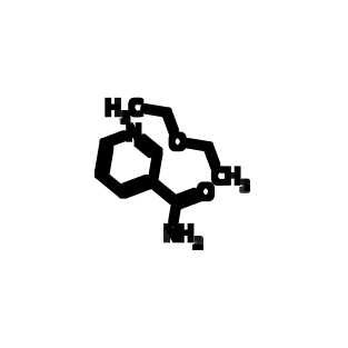 CCOCC.NC(=O)c1cccnc1